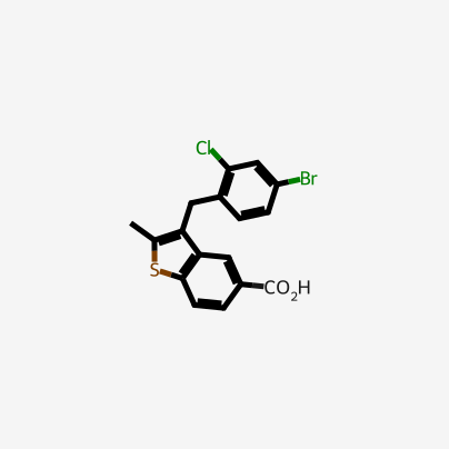 Cc1sc2ccc(C(=O)O)cc2c1Cc1ccc(Br)cc1Cl